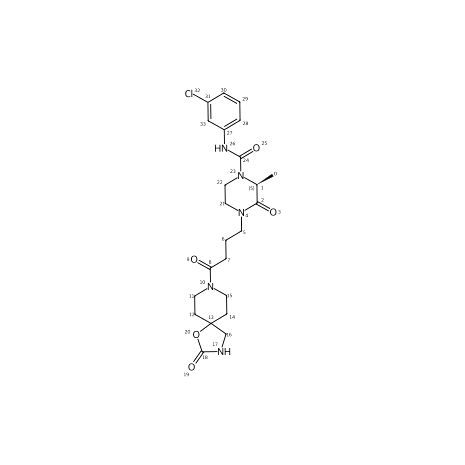 C[C@H]1C(=O)N(CCCC(=O)N2CCC3(CC2)CNC(=O)O3)CCN1C(=O)Nc1cccc(Cl)c1